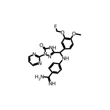 COc1ccc(C(Nc2ccc(C(=N)N)cc2)c2nn(-c3ncccn3)c(=O)[nH]2)cc1OCF